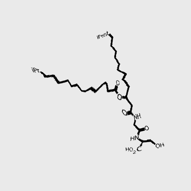 CCCC(C)CCCCCCCCCC(CC(=O)NCC(=O)N[C@@H](CO)C(=O)O)OC(=O)CCCCCCCCCCCC(C)C